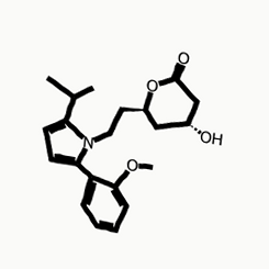 COc1ccccc1-c1ccc(C(C)C)n1CC[C@@H]1C[C@@H](O)CC(=O)O1